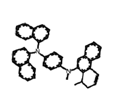 CC1CC=Cc2c1c(N(C)c1ccc(N(c3cccc4ccccc34)c3cccc4ccccc34)cc1)cc1ccccc21